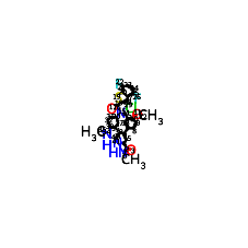 CNC(=O)c1cc(-c2ccc(OC)c(CN(C(=O)c3sc4c(F)ccc(F)c4c3Cl)[C@H]3CC[C@@H](NC)CC3)c2)ccn1